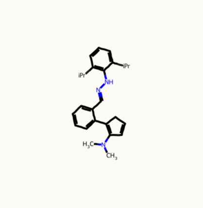 CC(C)c1cccc(C(C)C)c1NN=Cc1ccccc1C1=C(N(C)C)C=CC1